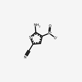 N#Cc1cc([N+](=O)[O-])c(N)s1